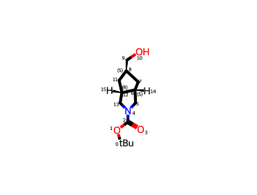 CC(C)(C)OC(=O)N1C[C@H]2C[C@H](CO)C[C@H]2C1